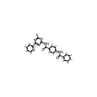 Cc1nc(NC(=O)c2ccc(NC(=O)c3ccccc3)cc2)nc(-c2ccccn2)n1